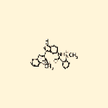 CNc1ccccc1C(=O)Nc1ccc2[nH]cc(/C(C#N)=C/c3cnccc3OC)c2c1